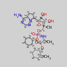 C[C@H](NP(=O)(OC[C@@]1(C#N)O[C@@H](c2ccc3c(N)ncnn23)[C@H](O)[C@@H]1O)Oc1ccccc1)C(=O)O[C@H]1CCCC[C@@H]1C